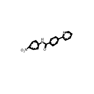 O=C(Nc1ccc([N+](=O)[O-])cc1)c1ccc(-c2ccccn2)cc1